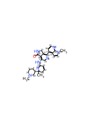 CN1CCC[C@@H](C2(C)CC=CC(Nc3cnc(-c4ccnc5c4ccn5C)c4c3C(=O)NC4)=N2)C1